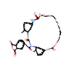 Cc1ccc2cc1NC(=O)N(C(=O)c1ccc3c(c1)C(=O)OC3=O)c1cc(ccc1C)NC(=O)OCCCCCCCCCOC(=O)N2